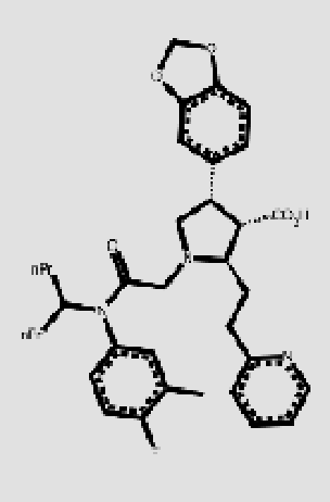 CCCC(CCC)N(C(=O)CN1C[C@H](c2ccc3c(c2)OCO3)[C@H](C(=O)O)[C@H]1CCc1ccccn1)c1ccc(F)c(C)c1